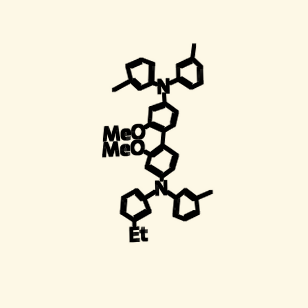 CCc1cccc(N(c2cccc(C)c2)c2ccc(-c3ccc(N(c4cccc(C)c4)c4cccc(C)c4)cc3OC)c(OC)c2)c1